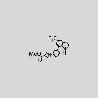 COC(=O)C1CN(c2cccc(-c3cc(C(F)(F)F)cc4c3NCCC4)c2)C1